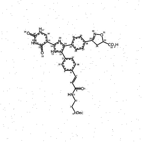 CCCCCCCCCCCCNC(=O)C=Cc1ccc(-c2[nH]c(-c3c[nH]c(=O)[nH]c3=O)nc2-c2ccc(C3=NOC(C(=O)O)C3)cc2)cc1